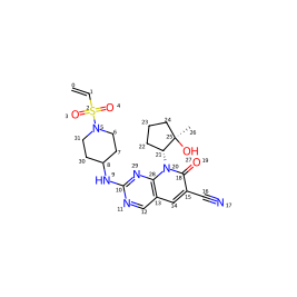 C=CS(=O)(=O)N1CCC(Nc2ncc3cc(C#N)c(=O)n([C@@H]4CCC[C@@]4(C)O)c3n2)CC1